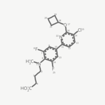 CN(CCCC(=O)O)c1c(F)cc(-c2ccc(Cl)c(OC3CCC3)n2)cc1F